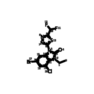 CCn1c(=O)n(-c2nnc(C(F)F)s2)c2cc(Br)cc(Cl)c21